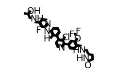 Cc1c(Nc2nccc(CNCC(C)O)c2F)cccc1-c1ccnc(-c2ccc(CNCC3CCC(=O)N3)c(OC(F)F)c2)c1Cl